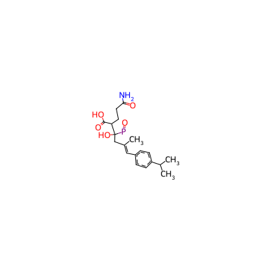 C/C(=C\c1ccc(C(C)C)cc1)CC(O)(P=O)C(CCC(N)=O)C(=O)O